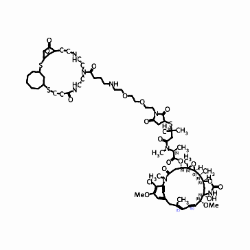 COc1cc2cc(c1Cl)N(C)C(=O)C[C@H](OC(=O)[C@H](C)N(C)C(=O)CC(C)(C)SC1CC(=O)N(CCOCCOCCNCCCC(=O)N3CCNCCC4C(=O)CC(SC5CCCCCC(C5)SCCC(=O)NCC3)C4=O)C1=O)[C@]1(C)O[C@H]1[C@H](C)[C@@H]1C[C@@](O)(NC(=O)O1)[C@H](OC)/C=C/C=C(\C)C2